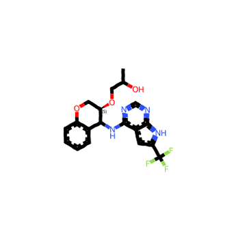 CC(O)CO[C@@H]1COc2ccccc2C1Nc1ncnc2[nH]c(C(F)(F)F)cc12